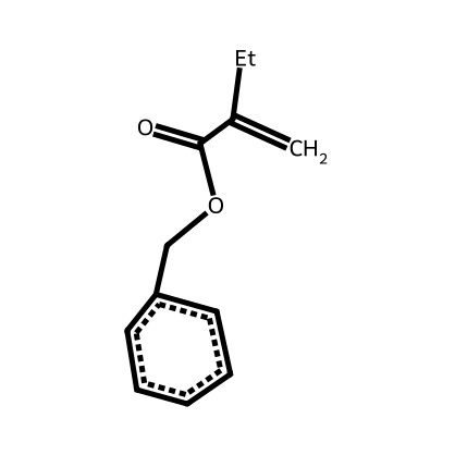 C=C(CC)C(=O)OCc1ccccc1